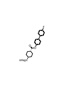 CCCCCCC[C@H]1CC[C@H](C(=O)Oc2ccc(-c3ccc(F)cc3)cc2)CC1